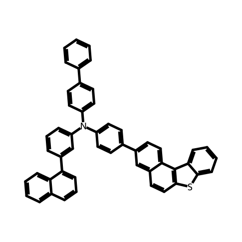 c1ccc(-c2ccc(N(c3ccc(-c4ccc5c(ccc6sc7ccccc7c65)c4)cc3)c3cccc(-c4cccc5ccccc45)c3)cc2)cc1